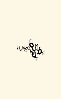 Cc1cc(F)cc(C)c1Nc1c(-c2ccc(F)cc2OCC(N)=O)nc2ccc(F)cn12